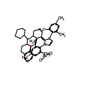 Cc1cc(C)c(N2C=CN(c3c(C)cc(C)cc3C)C2=C2CCCC(P(C3CCCCC3)C3CCCCC3)C2=CCc2ccccc2)c(C)c1.[Cl][Ru][Cl]